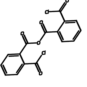 O=C(Cl)c1ccccc1C(=O)OC(=O)c1ccccc1C(=O)Cl